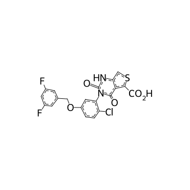 O=C(O)c1scc2[nH]c(=O)n(-c3cc(OCc4cc(F)cc(F)c4)ccc3Cl)c(=O)c12